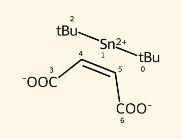 C[C](C)(C)[Sn+2][C](C)(C)C.O=C([O-])/C=C\C(=O)[O-]